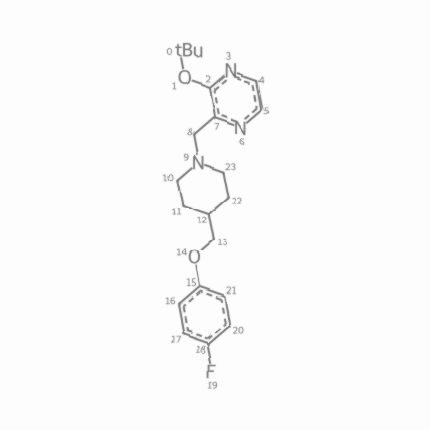 CC(C)(C)Oc1nccnc1CN1CCC(COc2ccc(F)cc2)CC1